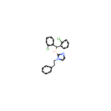 Clc1ccccc1C(Bc1nccn1CCc1ccccc1)c1ccccc1Cl